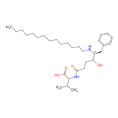 CCCCCCCCCCCCCCN[C@@H](Cc1ccccc1)C(O)CCC(=O)NC(C(=O)O)C(C)C